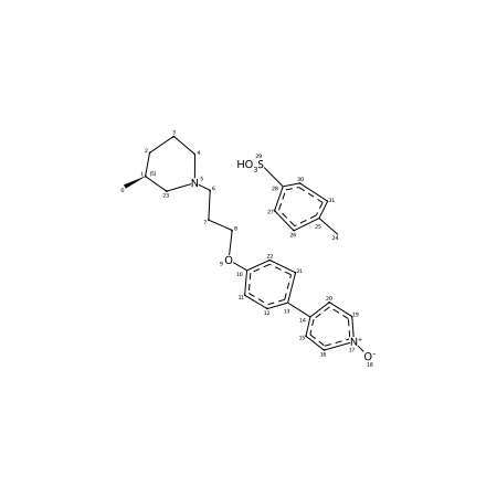 C[C@H]1CCCN(CCCOc2ccc(-c3cc[n+]([O-])cc3)cc2)C1.Cc1ccc(S(=O)(=O)O)cc1